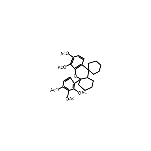 CC(=O)Oc1ccc2c(c1OC(C)=O)OC1(c3ccc(OC(C)=O)c(OC(C)=O)c3OC(C)=O)CCCCC1C21CCCCC1